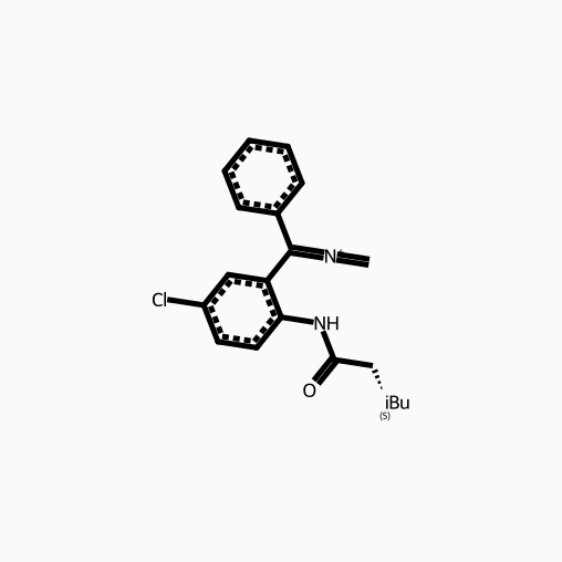 C=[N+]=C(c1ccccc1)c1cc(Cl)ccc1NC(=O)C[C@@H](C)CC